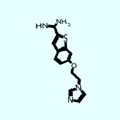 N=C(N)c1cc2ccc(OCCn3ccnc3)cc2s1